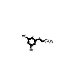 CCOC(=O)C=Cc1cc(C(C)(C)C)cc(C(C)(C)C)c1